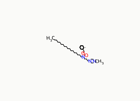 CCCCCCCCCCCCCCCCCCN(CCCN1CCN(C)CC1)C(=O)OCc1[c]cccc1